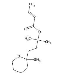 CC=CC(=O)OC(C)(C)CCC1([SiH3])CCCCO1